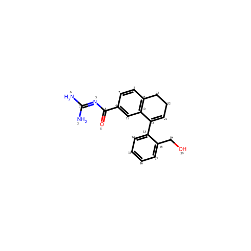 NC(N)=NC(=O)c1ccc2c(c1)C(c1ccccc1CO)=CCC2